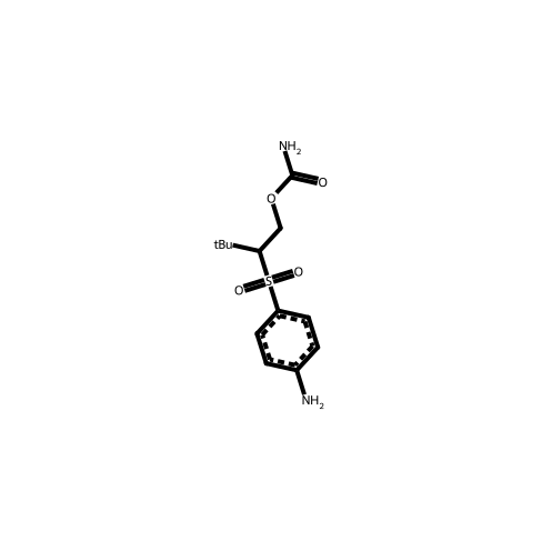 CC(C)(C)C(COC(N)=O)S(=O)(=O)c1ccc(N)cc1